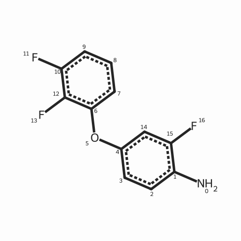 Nc1ccc(Oc2cccc(F)c2F)cc1F